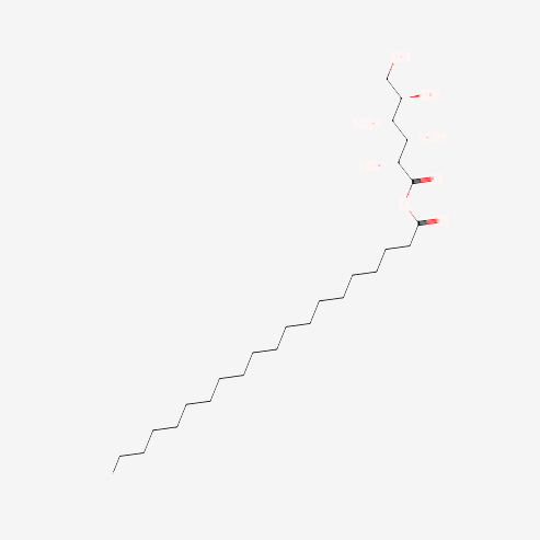 CCCCCCCCCCCCCCCCCCCC(=O)OC(=O)[C@H](O)[C@@H](O)[C@H](O)[C@H](O)CO